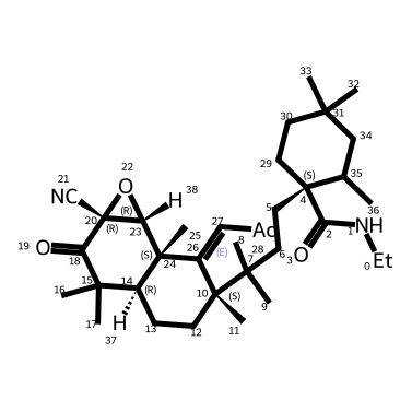 CCNC(=O)[C@]1(CCC(C)(C)[C@]2(C)CC[C@H]3C(C)(C)C(=O)[C@]4(C#N)O[C@@H]4[C@]3(C)/C2=C/C(C)=O)CCC(C)(C)CC1C